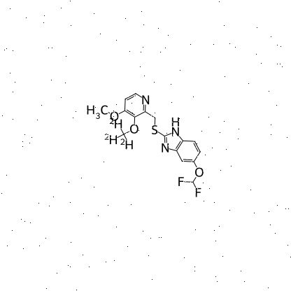 [2H]C([2H])([2H])Oc1c(OC)ccnc1CSc1nc2cc(OC(F)F)ccc2[nH]1